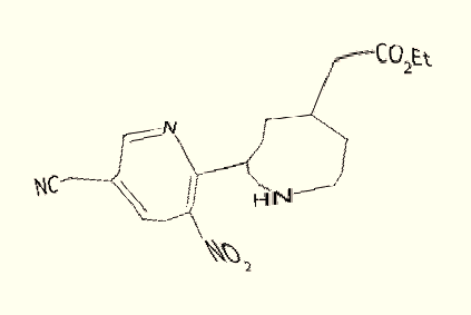 CCOC(=O)CC1CCNC(c2ncc(C#N)cc2[N+](=O)[O-])C1